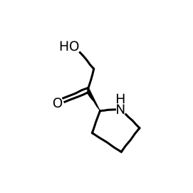 O=C(CO)[C@@H]1CCCN1